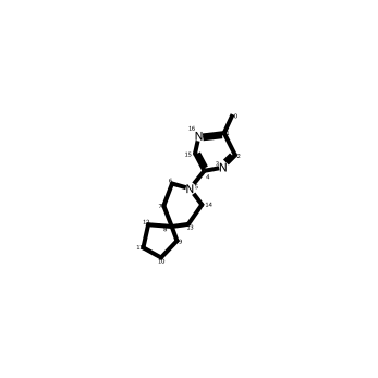 Cc1cnc(N2CCC3(CCCC3)CC2)cn1